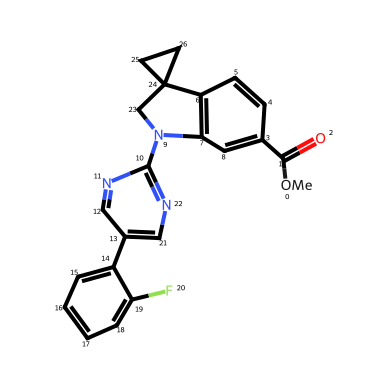 COC(=O)c1ccc2c(c1)N(c1ncc(-c3ccccc3F)cn1)CC21CC1